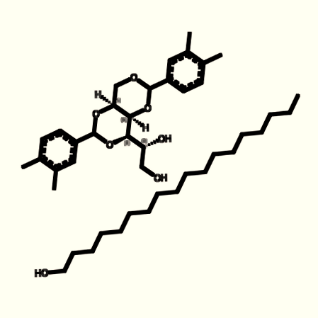 CCCCCCCCCCCCCCCCCCO.Cc1ccc(C2OC[C@@H]3OC(c4ccc(C)c(C)c4)O[C@H]([C@H](O)CO)[C@@H]3O2)cc1C